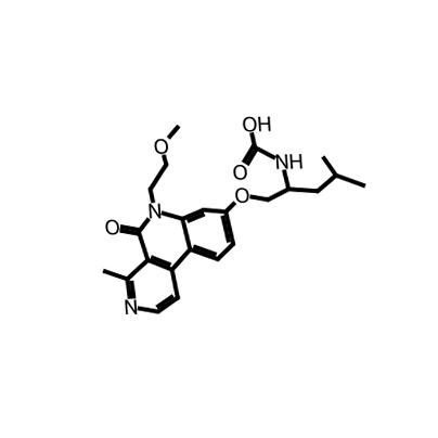 COCCn1c(=O)c2c(C)nccc2c2ccc(OCC(CC(C)C)NC(=O)O)cc21